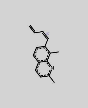 C=C/C=C\c1ccc2ccc(C)nc2c1C